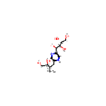 CC(=O)N[C@H](Cc1cnc([C@@H](O)[C@H](O)[C@H](O)CO)cn1)[C@H](O)CO